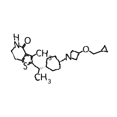 Cc1c(C(C)[C@H]2CC[C@H](N3CC(OCC4CC4)C3)CC2)sc2c1C(=O)NCC2